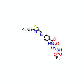 CC(=O)Nc1nc(C=Nc2ccc(C(=O)NC(=O)NNC(=O)OC(C)(C)C)cc2)cs1